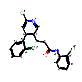 O=C(CCc1cnc(Cl)cc1-c1ccccc1Cl)Nc1ccccc1Cl